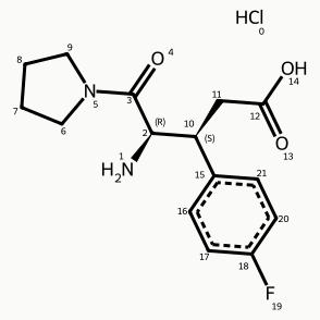 Cl.N[C@@H](C(=O)N1CCCC1)[C@@H](CC(=O)O)c1ccc(F)cc1